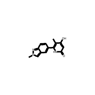 Cc1c(O)cc(=O)[nH]c1-c1ccc2nn(C)cc2c1